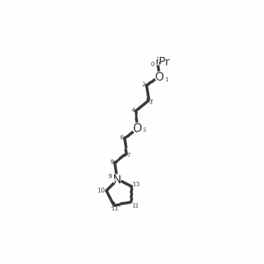 CC(C)OCCCOCCCN1CCCC1